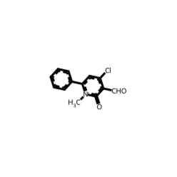 Cn1c(-c2ccccc2)cc(Cl)c(C=O)c1=O